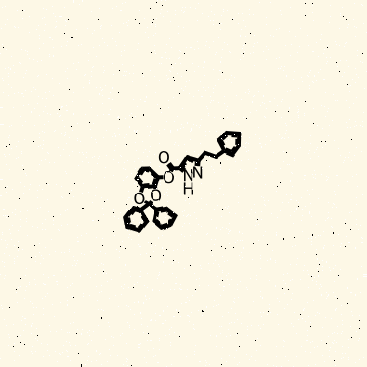 O=C(Oc1cccc2c1OC(c1ccccc1)(c1ccccc1)O2)c1cc(CCc2ccccc2)n[nH]1